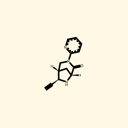 C#C[C@@H]1N[C@@H]2C[C@H]1CN(c1ccccn1)C2=O